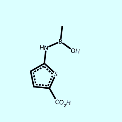 CB(O)Nc1ccc(C(=O)O)s1